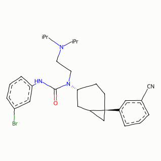 CC(C)N(CCN(C(=O)Nc1cccc(Br)c1)[C@@H]1CC[C@]2(c3cccc(C#N)c3)CC2C1)C(C)C